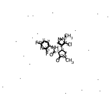 CN1C[C@H](c2cnn(C)c2Cl)[C@@H](C(=O)Nc2ccc(F)nc2F)C1=O